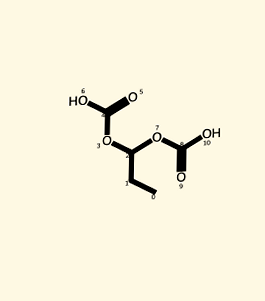 CCC(OC(=O)O)OC(=O)O